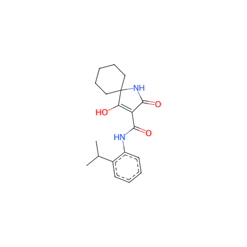 CC(C)c1ccccc1NC(=O)C1=C(O)C2(CCCCC2)NC1=O